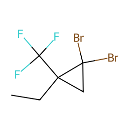 CCC1(C(F)(F)F)CC1(Br)Br